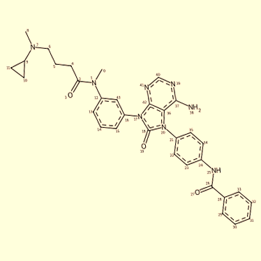 CN(C(=O)CCCN(C)C1CC1)c1cccc(-n2c(=O)n(-c3ccc(NC(=O)c4ccccc4)cc3)c3c(N)ncnc32)c1